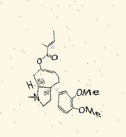 C/C=C(\C)C(=O)OC1=CC[C@@]2(c3ccc(OC)c(OC)c3)CCN(C)[C@H]2C1